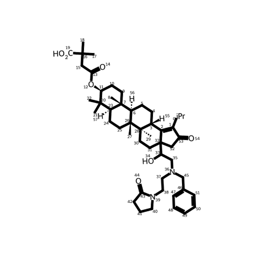 CC(C)C1=C2[C@H]3CC[C@@H]4[C@@]5(C)CC[C@H](OC(=O)CC(C)(C)C(=O)O)C(C)(C)[C@@H]5CC[C@@]4(C)[C@]3(C)CCC2(C(O)CN(CCN2CCCC2=O)Cc2ccccc2)CC1=O